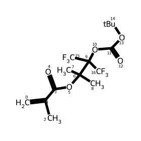 C=C(C)C(=O)OC(C)(C)C(OC(=O)OC(C)(C)C)(C(F)(F)F)C(F)(F)F